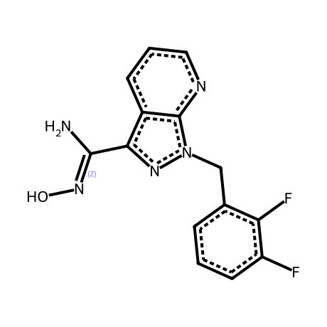 N/C(=N\O)c1nn(Cc2cccc(F)c2F)c2ncccc12